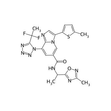 Cc1noc(C(C)NC(=O)c2cc(-n3nnnc3C(C)(F)F)c3ncc(-c4ccc(C)s4)n3c2)n1